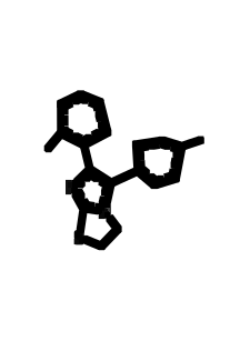 Cc1ccc(-c2c(-c3ccccc3C)nc3n2CCS3)cc1